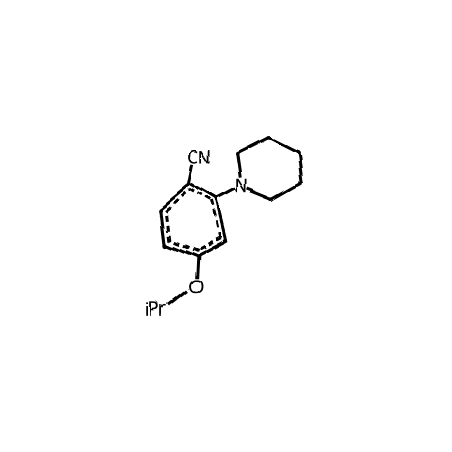 CC(C)Oc1ccc(C#N)c(N2CCCCC2)c1